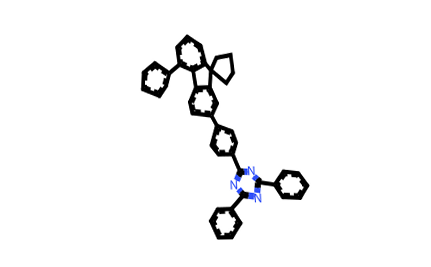 c1ccc(-c2nc(-c3ccccc3)nc(-c3ccc(-c4ccc5c(c4)C4(CCCC4)c4cccc(-c6ccccc6)c4-5)cc3)n2)cc1